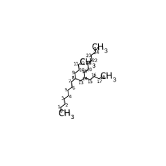 CCCCCCCCC(CCCC)CC(CCCC)CCCCCCC